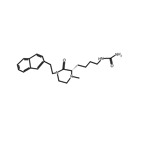 CN1CCN(CCc2ccc3ccccc3c2)C(=O)[C@@H]1CCCCNC(N)=O